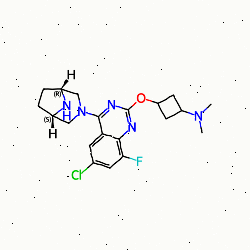 CN(C)C1CC(Oc2nc(N3C[C@H]4CC[C@@H](C3)N4)c3cc(Cl)cc(F)c3n2)C1